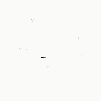 CNCC[C@]1(CCCCOC)NC(=O)c2ccc(F)cc21